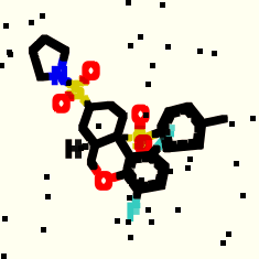 Cc1ccc(S(=O)(=O)[C@@]23CC[C@H](S(=O)(=O)N4CCCC4)C[C@@H]2COc2c(F)ccc(F)c23)cc1